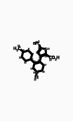 CCCc1cc(C2=C(C3CCC(C)CC3)CN(CC)CC2)c(C(=O)O)s1